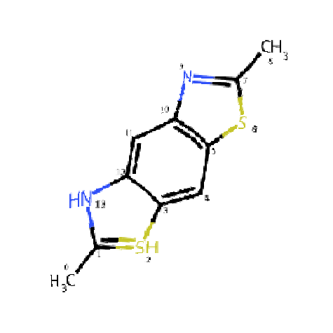 CC1=[SH]c2cc3sc(C)nc3cc2N1